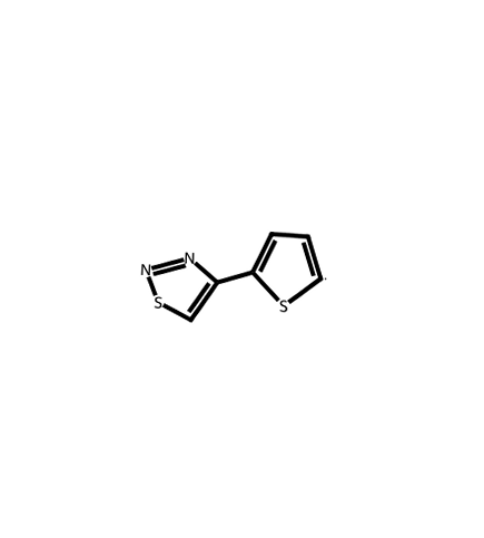 [c]1ccc(-c2csnn2)s1